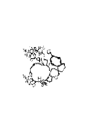 BC(B)(B)N(C(=O)O[C@H]1/C=C/COC(C)(C)C(=O)NS(=O)(=O)c2ccc3c(c2)N(C[C@@H]2CC[C@H]21)C[C@@]1(CCCc2cc(Cl)ccc21)CO3)C(B)(B)B